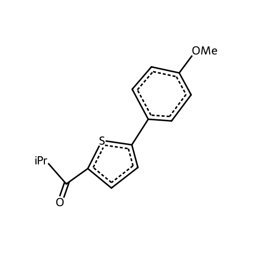 COc1ccc(-c2ccc(C(=O)C(C)C)s2)cc1